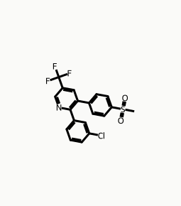 CS(=O)(=O)c1ccc(-c2cc(C(F)(F)F)cnc2-c2cccc(Cl)c2)cc1